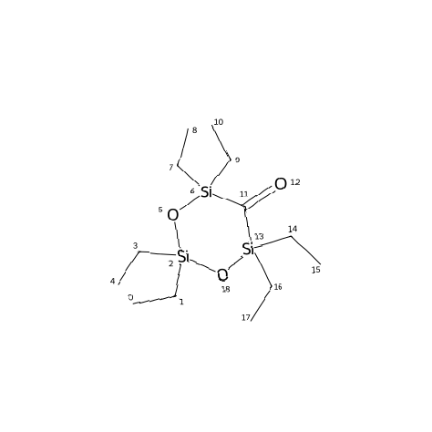 CC[Si]1(CC)O[Si](CC)(CC)C(=O)[Si](CC)(CC)O1